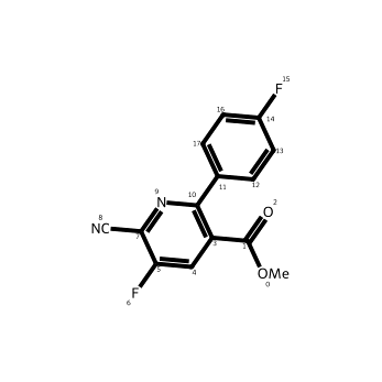 COC(=O)c1cc(F)c(C#N)nc1-c1ccc(F)cc1